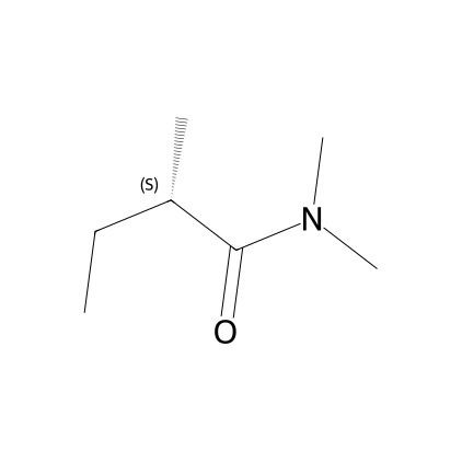 CC[C@H](C)C(=O)N(C)C